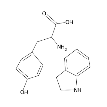 NC(Cc1ccc(O)cc1)C(=O)O.c1ccc2c(c1)CCN2